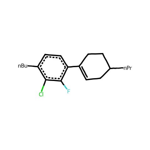 CCCCc1ccc(C2=CCC(CCC)CC2)c(F)c1Cl